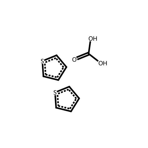 O=C(O)O.c1ccsc1.c1ccsc1